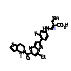 CCc1cc(C(=O)N2CCc3sccc3[C@H]2C)nc2cc(-c3ccc(N/C=C(\C=N)C(=O)O)cc3F)nn12